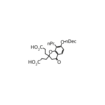 CCCCCCCCCCOc1ccc2c(c1CCC)OC(CCC(=O)O)(CCC(=O)O)CC2=O